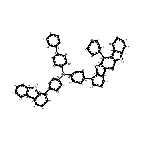 c1ccc(-c2ccc(N(c3ccc(-c4cccc5c4oc4ccccc45)cc3)c3ccc(-c4cccc5c4oc4c(-c6ccccc6)c6c(cc45)oc4ccccc46)cc3)cc2)cc1